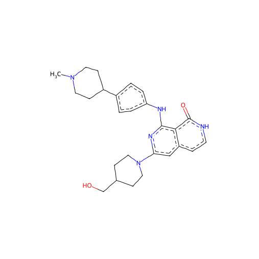 CN1CCC(c2ccc(Nc3nc(N4CCC(CO)CC4)cc4cc[nH]c(=O)c34)cc2)CC1